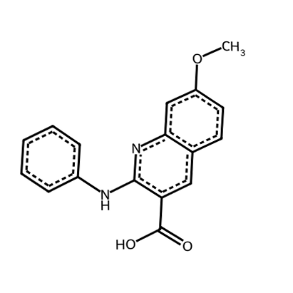 COc1ccc2cc(C(=O)O)c(Nc3ccccc3)nc2c1